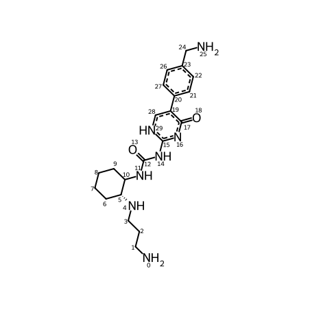 NCCCN[C@@H]1CCCCC1NC(=O)Nc1nc(=O)c(-c2ccc(CN)cc2)c[nH]1